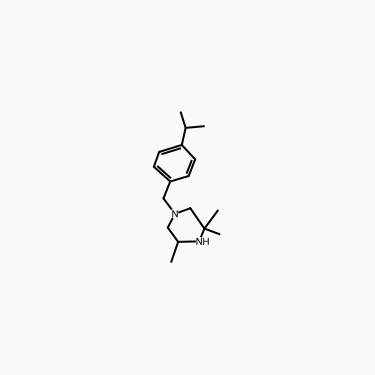 CC1CN(Cc2ccc(C(C)C)cc2)CC(C)(C)N1